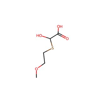 COCCSC(O)C(=O)O